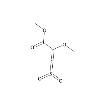 COC(=O)C(=C=S(=O)=O)OC